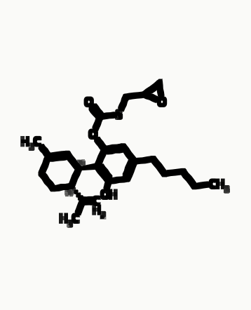 C=C(C)[C@@H]1CCC(C)=C[C@H]1c1c(O)cc(CCCCC)cc1OC(=O)SCC1CO1